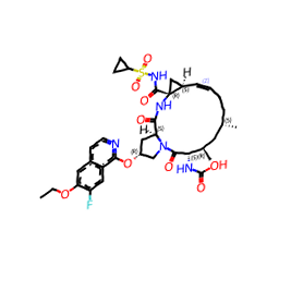 CCOc1cc2ccnc(O[C@@H]3C[C@H]4C(=O)N[C@]5(C(=O)NS(=O)(=O)C6CC6)C[C@H]5/C=C\CC[C@H](C)C[C@@H](C)[C@H](NC(=O)O)C(=O)N4C3)c2cc1F